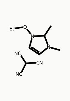 CCON1C=CN(C)C1C.N#CC(C#N)C#N